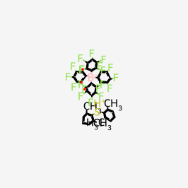 Cc1cccc(C)c1[SH+]c1c(C)cccc1C.Fc1c(F)c(F)c([B-](c2c(F)c(F)c(F)c(F)c2F)(c2c(F)c(F)c(F)c(F)c2F)c2c(F)c(F)c(F)c(F)c2F)c(F)c1F